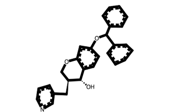 O[C@H]1c2ccc(OC(c3ccccc3)c3ccccc3)cc2OC[C@@H]1Cc1cccnc1